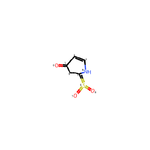 O=C1C=CNC(=S(=O)=O)C1